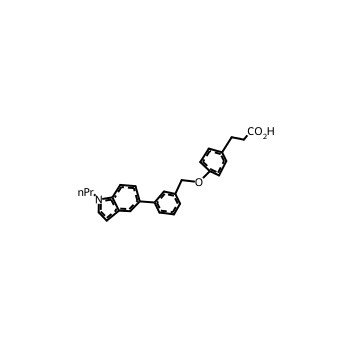 CCCn1ccc2cc(-c3cccc(COc4ccc(CCC(=O)O)cc4)c3)ccc21